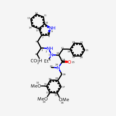 CCN(NC(CC(=O)O)Cc1c[nH]c2ccccc12)C(Cc1ccccc1)C(=O)N(C)Cc1cc(OC)c(OC)c(OC)c1